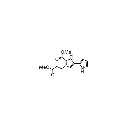 COC(=O)CCc1cc(-c2ccc[nH]2)[nH]c1C(=O)OC